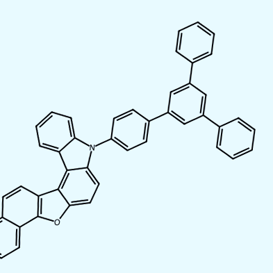 c1ccc(-c2cc(-c3ccccc3)cc(-c3ccc(-n4c5ccccc5c5c6c(ccc54)oc4c5ccccc5ccc46)cc3)c2)cc1